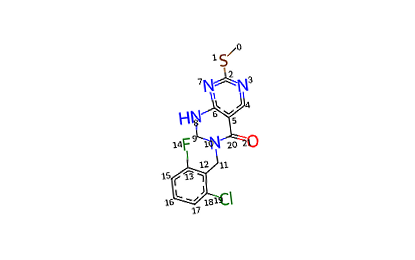 CSc1ncc2c(n1)NCN(Cc1c(F)cccc1Cl)C2=O